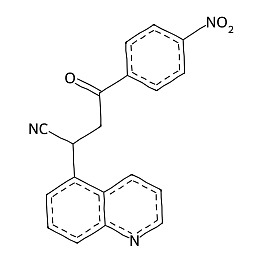 N#CC(CC(=O)c1ccc([N+](=O)[O-])cc1)c1cccc2ncccc12